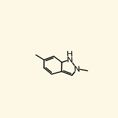 CC1=CC2NN(C)C=C2C=C1